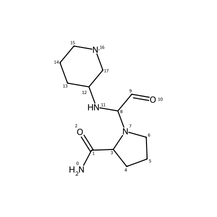 NC(=O)C1CCCN1C(C=O)NC1CCC[N]C1